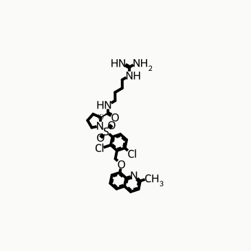 Cc1ccc2cccc(OCc3c(Cl)ccc(S(=O)(=O)N4CCC[C@H]4C(=O)NCCCCNC(=N)N)c3Cl)c2n1